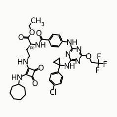 CCOC(=O)[C@H](CCNc1c(NC2CCCCCC2)c(=O)c1=O)NC(=O)c1ccc(Nc2nc(NC3(c4ccc(Cl)cc4)CC3)nc(OCC(F)(F)F)n2)cc1